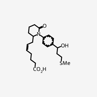 CSCCC(O)c1ccc(N2C(=O)CCCC2C/C=C\CCCC(=O)O)cc1